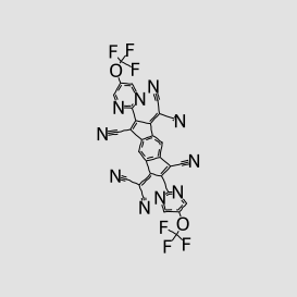 N#CC(C#N)=C1C(c2ncc(OC(F)(F)F)cn2)=C(C#N)c2cc3c(cc21)C(C#N)=C(c1ncc(OC(F)(F)F)cn1)C3=C(C#N)C#N